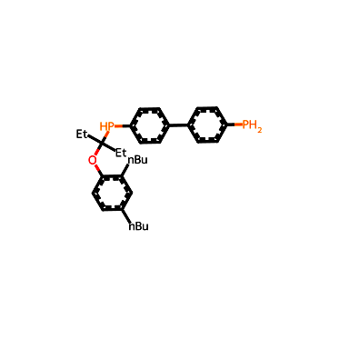 CCCCc1ccc(OC(CC)(CC)Pc2ccc(-c3ccc(P)cc3)cc2)c(CCCC)c1